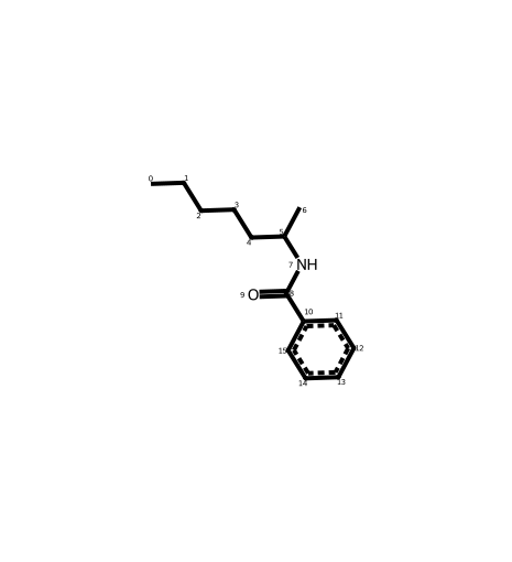 CCCCCC(C)NC(=O)c1ccccc1